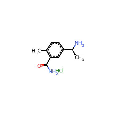 Cc1ccc([C@H](C)N)cc1C(N)=O.Cl